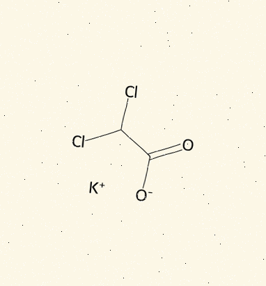 O=C([O-])C(Cl)Cl.[K+]